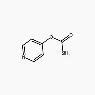 O=C([SiH3])Oc1ccncc1